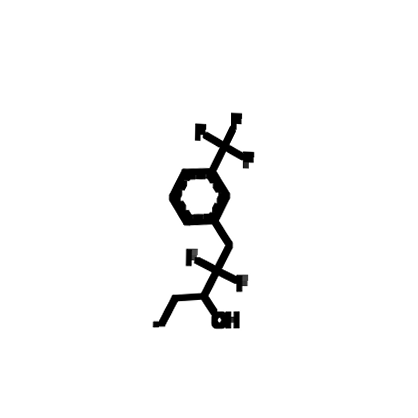 [CH2]CC(O)C(F)(F)Cc1cccc(C(F)(F)F)c1